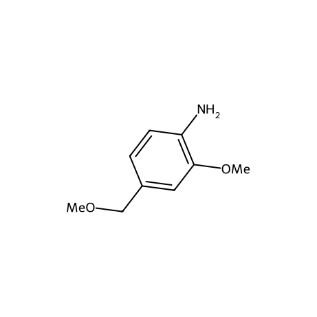 COCc1ccc(N)c(OC)c1